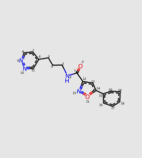 O=C(NCCCc1ccnnc1)c1cc(-c2ccccc2)on1